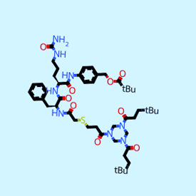 CC(C)(C)CCC(=O)N1CN(C(=O)CCSCC(=O)N[C@@H](Cc2ccccc2)C(=O)N[C@@H](CCCNC(N)=O)C(=O)Nc2ccc(COC(=O)C(C)(C)C)cc2)CN(C(=O)CCC(C)(C)C)C1